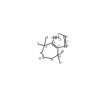 C/N=N\C1=C(N)C(C)(C)CSCC1(C)C